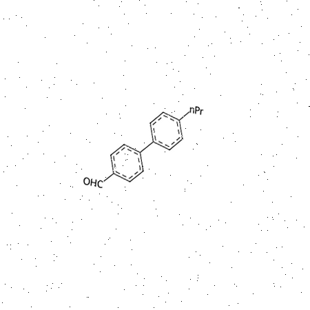 CCCc1ccc(-c2ccc(C=O)cc2)cc1